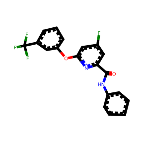 O=C(Nc1ccccc1)c1cc(F)cc(Oc2cccc(C(F)(F)F)c2)n1